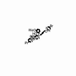 COc1ccccc1Oc1c(NS(=O)(=O)c2ccc(C(C)C)cn2)ncnc1OCC#CCOc1ncc(Br)cn1